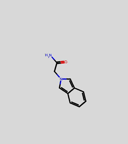 NC(=O)Cn1cc2ccccc2c1